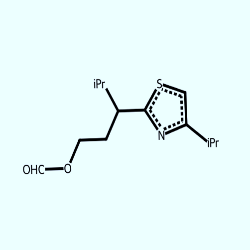 CC(C)c1csc(C(CCOC=O)C(C)C)n1